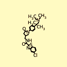 CCN(CC)CC(C)(C)c1ccc(N2CC(CNC(=O)c3nc4cc(Cl)ccc4s3)CC2=O)cc1